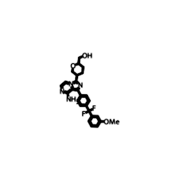 COc1cccc(C(F)(F)c2ccc(-c3nc(C4CCC(CO)OC4)n4ccnc(N)c34)cc2)c1